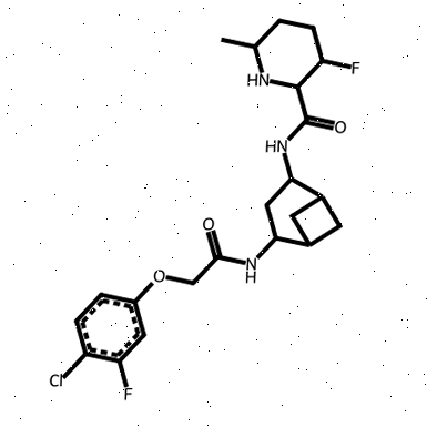 CC1CCC(F)C(C(=O)NC2CC(NC(=O)COc3ccc(Cl)c(F)c3)C3CC2C3)N1